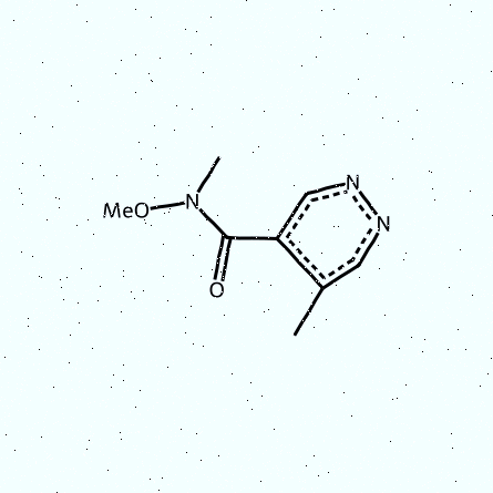 CON(C)C(=O)c1cnncc1C